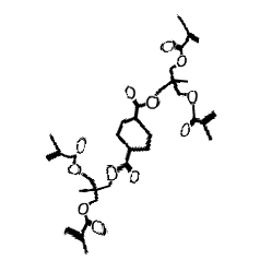 C=C(C)C(=O)OCC(C)(COC(=O)C(=C)C)COC(=O)C1CCC(C(=O)OCC(C)(COC(=O)C(=C)C)COC(=O)C(=C)C)CC1